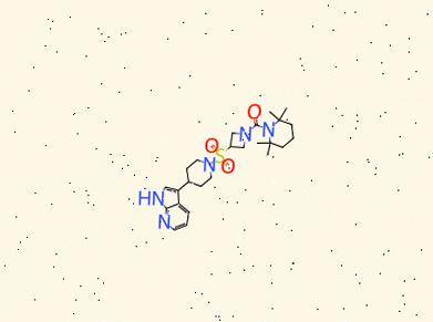 CC1(C)CCCC(C)(C)N1C(=O)N1CC(S(=O)(=O)N2CCC(c3c[nH]c4ncccc34)CC2)C1